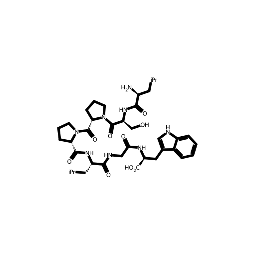 CC(C)C[C@H](NC(=O)[C@@H]1CCCN1C(=O)[C@@H]1CCCN1C(=O)[C@H](CO)NC(=O)[C@@H](N)CC(C)C)C(=O)NCC(=O)N[C@@H](Cc1c[nH]c2ccccc12)C(=O)O